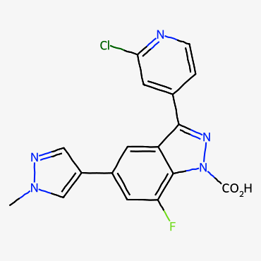 Cn1cc(-c2cc(F)c3c(c2)c(-c2ccnc(Cl)c2)nn3C(=O)O)cn1